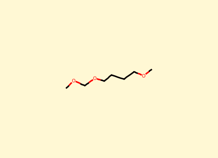 COCCCCOCOC